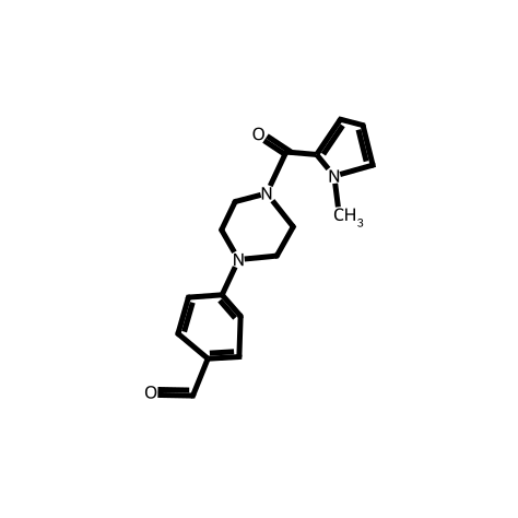 Cn1cccc1C(=O)N1CCN(c2ccc(C=O)cc2)CC1